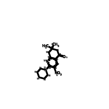 CC1(C)CC(=O)c2cc([N+](=O)[O-])c(N3CCCCC3)nc2C1